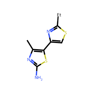 CCc1nc(-c2sc(N)nc2C)cs1